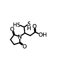 O=C(O)CC(C(S)S)N1C(=O)CCC1=O